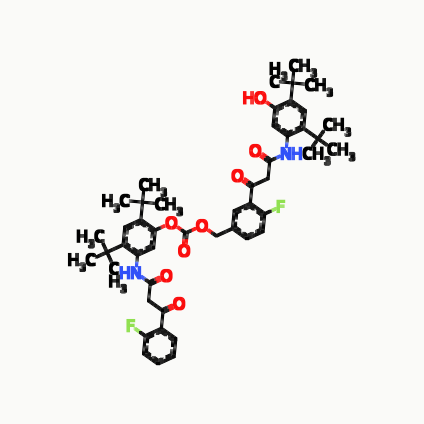 CC(C)(C)c1cc(C(C)(C)C)c(NC(=O)CC(=O)c2cc(COC(=O)Oc3cc(NC(=O)CC(=O)c4ccccc4F)c(C(C)(C)C)cc3C(C)(C)C)ccc2F)cc1O